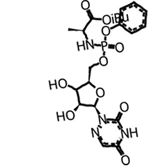 CC(C)COC(=O)[C@H](C)NP(=O)(OC[C@H]1O[C@@H](n2ncc(=O)[nH]c2=O)[C@@H](O)C1O)Oc1ccccc1